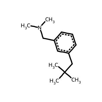 CN(C)Cc1cccc(CC(C)(C)C)c1